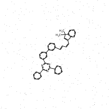 CC1(C)C=C(/C=C\C=C\c2cccc(-c3cccc(-c4nc(-c5ccccc5)nc(-c5ccccc5)n4)c3)c2)c2ccccc21